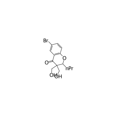 CCCC1Oc2ccc(Br)cc2C(=O)C1(CO)CO